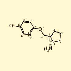 N[C@H]1CCC[C@@H]1COc1ccc(F)cn1